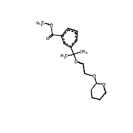 COC(=O)c1cccc(C(C)(C)OCCOC2CCCCO2)c1